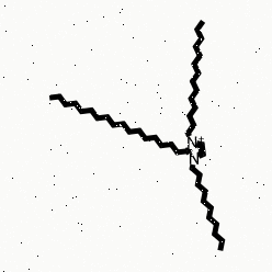 CCCCCCCCCCCCCCCCCc1n(CCCCCCCCCCC)cc[n+]1CCCCCCCCCCCCCC